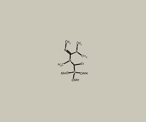 CCC(N(C)C(=NC)N(C)C)[Si](OC)(OC)OC